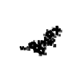 COC1CCc2c1cc1c(c2NC(=O)N=S(N)(=O)c2cnn3c2OCC(C)(C)C3)CCC1